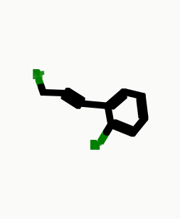 BrCC#Cc1ccccc1Br